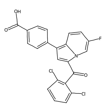 O=C(O)c1ccc(-c2cc(C(=O)c3c(Cl)cccc3Cl)n3cc(F)ccc23)cc1